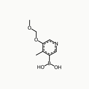 COCOc1cncc(B(O)O)c1C